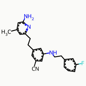 Cc1cc(N)nc(CCc2cc(C#N)cc(NCCc3cccc(F)c3)c2)c1